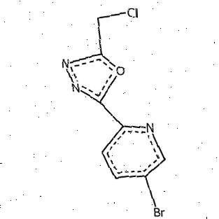 ClCc1nnc(-c2ccc(Br)cn2)o1